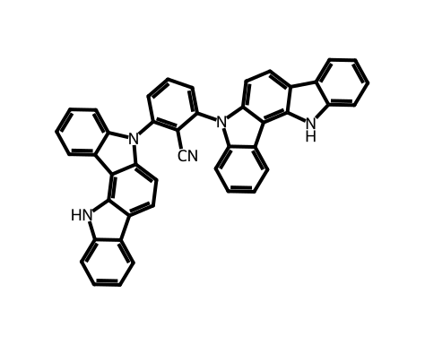 N#Cc1c(-n2c3ccccc3c3c4[nH]c5ccccc5c4ccc32)cccc1-n1c2ccccc2c2c3[nH]c4ccccc4c3ccc21